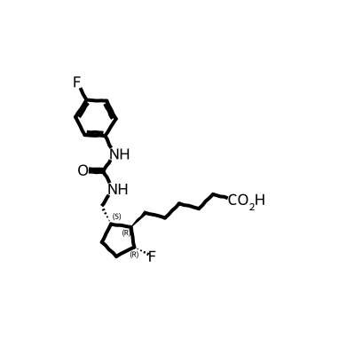 O=C(O)CCCCC[C@@H]1[C@@H](CNC(=O)Nc2ccc(F)cc2)CC[C@H]1F